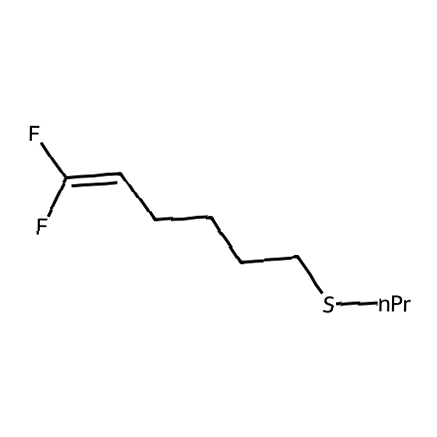 [CH2]CCSCCCCC=C(F)F